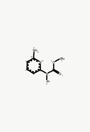 CC(C)N(C(=O)OC(C)(C)C)c1cccc(N)n1